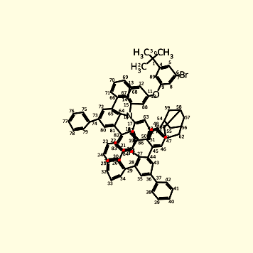 CC(C)(C)c1cc(Br)cc(Oc2cccc(N(c3cc(N(c4ccccc4)c4c(-c5ccccc5)cc(-c5ccccc5)cc4-c4ccccc4)cc(N4C5CC6CC(C5)CC4C6)c3)c3c(-c4ccccc4)cc(-c4ccccc4)cc3-c3ccccc3)c2)c1